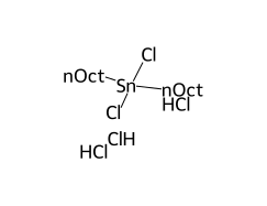 CCCCCCC[CH2][Sn]([Cl])([Cl])[CH2]CCCCCCC.Cl.Cl.Cl